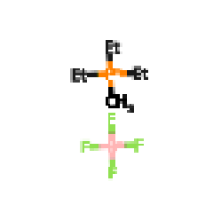 CC[P+](C)(CC)CC.F[B-](F)(F)F